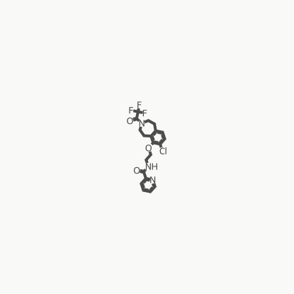 O=C(NCCOc1c(Cl)ccc2c1CCN(C(=O)C(F)(F)F)CC2)c1ccccn1